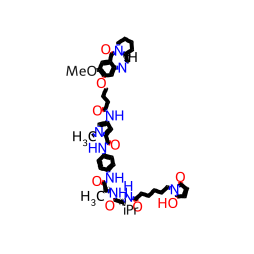 COc1cc2c(cc1OCCCC(=O)Nc1cc(C(=O)Nc3ccc(NC(=O)[C@H](C)NC(=O)[C@@H](NC(=O)CCCCCN4C(=O)C=CC4O)C(C)C)cc3)n(C)c1)N=C[C@@H]1CCCCN1C2=O